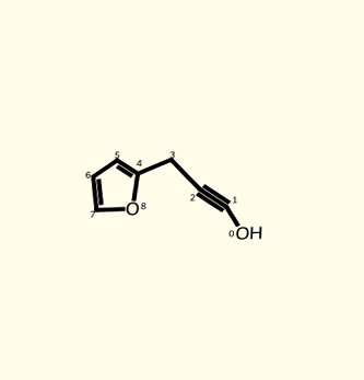 OC#CCc1ccco1